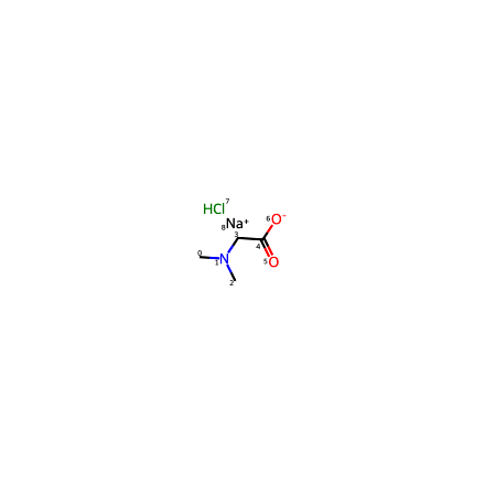 CN(C)CC(=O)[O-].Cl.[Na+]